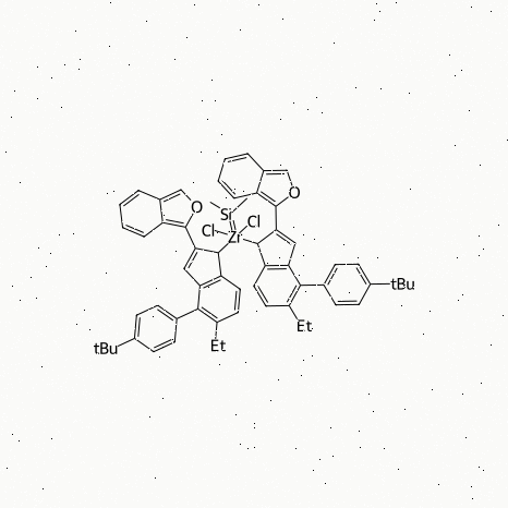 CCc1ccc2c(c1-c1ccc(C(C)(C)C)cc1)C=C(c1occ3ccccc13)[CH]2[Zr]([Cl])([Cl])([CH]1C(c2occ3ccccc23)=Cc2c1ccc(CC)c2-c1ccc(C(C)(C)C)cc1)=[Si](C)C